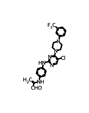 C=C(C=O)Nc1ccc(Nc2ncc(Cl)c(N3CCN(c4cccc(C(F)(F)F)c4)CC3)n2)cc1